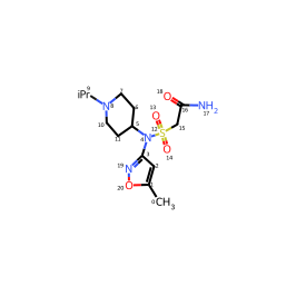 Cc1cc(N(C2CCN(C(C)C)CC2)S(=O)(=O)CC(N)=O)no1